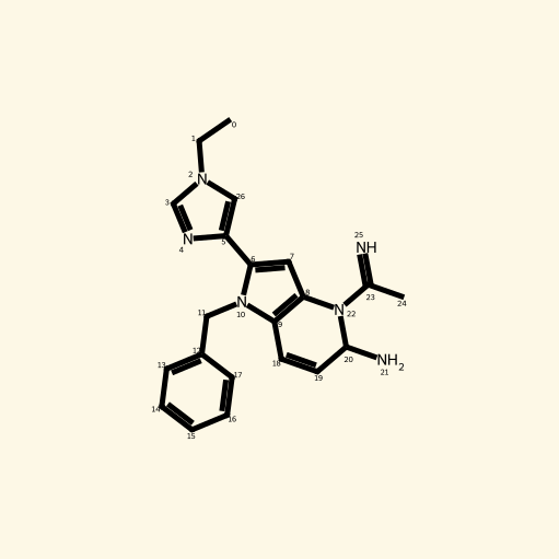 CCn1cnc(-c2cc3c(n2Cc2ccccc2)C=CC(N)N3C(C)=N)c1